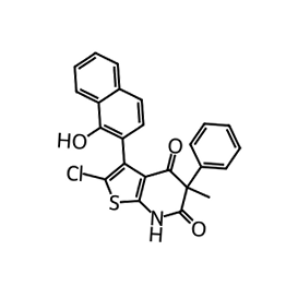 CC1(c2ccccc2)C(=O)Nc2sc(Cl)c(-c3ccc4ccccc4c3O)c2C1=O